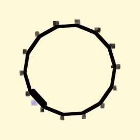 [CH]1CCCC/C=C\CCCCCCC1